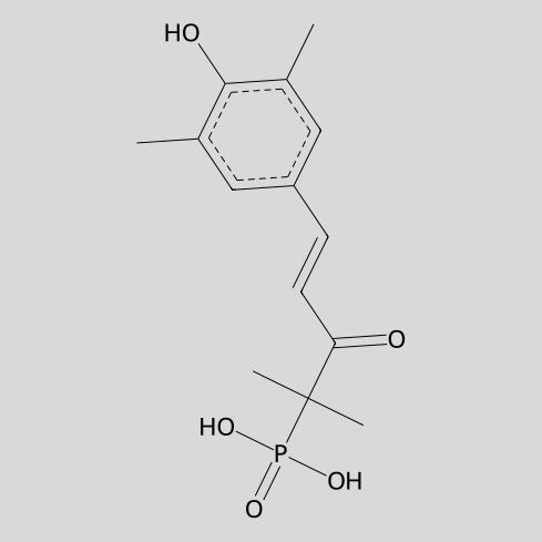 Cc1cc(/C=C/C(=O)C(C)(C)P(=O)(O)O)cc(C)c1O